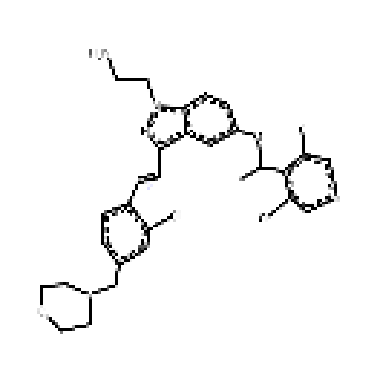 CC(Oc1ccc2c(c1)c(/C=C/c1ccc(CN3CCOCC3)cc1Cl)nn2CCN)c1c(Cl)cncc1Cl